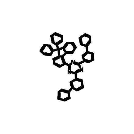 c1ccc(-c2cccc(-c3nc(-c4cccc(-c5ccccc5)c4)nc(-c4cccc5c4-c4ccccc4C5(c4ccccc4)c4ccccc4)n3)c2)cc1